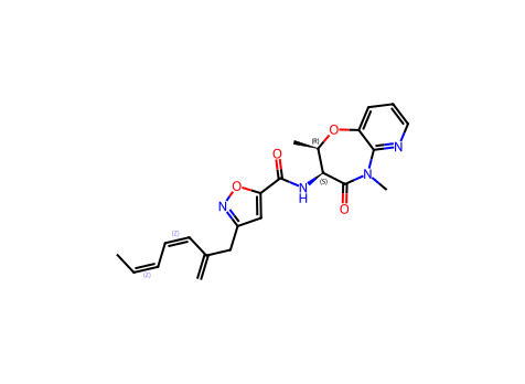 C=C(/C=C\C=C/C)Cc1cc(C(=O)N[C@@H]2C(=O)N(C)c3ncccc3O[C@@H]2C)on1